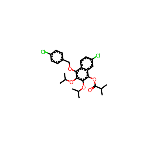 CC(C)Oc1c(OC(C)C)c(OC(=O)C(C)C)c2cc(Cl)ccc2c1OCc1ccc(Cl)cc1